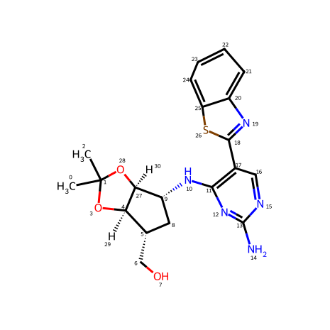 CC1(C)O[C@@H]2[C@@H](CO)C[C@@H](Nc3nc(N)ncc3-c3nc4ccccc4s3)[C@@H]2O1